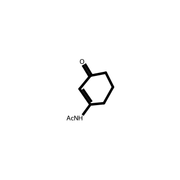 CC(=O)NC1=CC(=O)CCC1